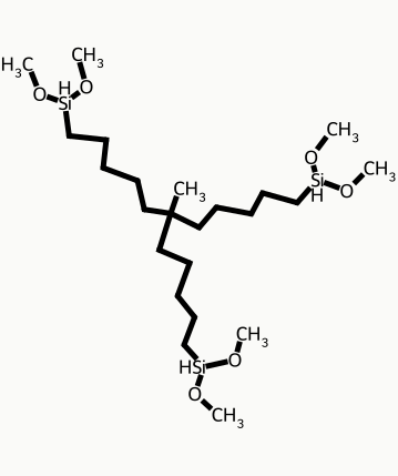 CO[SiH](CCCCCC(C)(CCCCC[SiH](OC)OC)CCCCC[SiH](OC)OC)OC